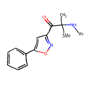 CSC(C)(NC(C)C)C(=O)c1cc(-c2ccccc2)on1